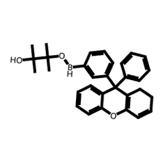 CC(C)(O)C(C)(C)OBc1cccc(C2(c3ccccc3)C3=C(C=CCC3)Oc3ccccc32)c1